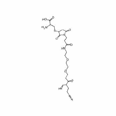 N#CCCC(C=N)C(=O)CCOCCOCCNC(=O)CCN1C(=O)CC(SCC(N)C(=O)O)C1=O